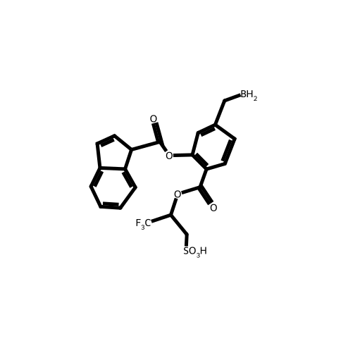 BCc1ccc(C(=O)OC(CS(=O)(=O)O)C(F)(F)F)c(OC(=O)C2C=Cc3ccccc32)c1